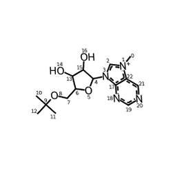 C[n+]1cn(C2OC(COC(C)(C)C)C(O)C2O)c2ncncc21